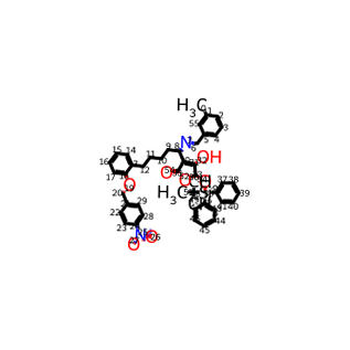 Cc1cccc(CN=C(CCCCc2ccccc2OCc2ccc([N+](=O)[O-])cc2)C2=C(O)C(O[Si](c3ccccc3)(c3ccccc3)C(C)(C)C)OC2=O)c1